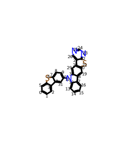 c1ccc2c(c1)sc1ccc(-n3c4ccccc4c4cc5sc6ncncc6c5cc43)cc12